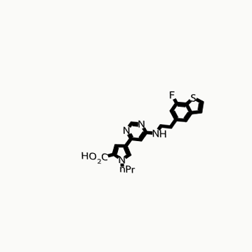 CCCn1cc(-c2cc(NCCc3cc(F)c4sccc4c3)ncn2)cc1C(=O)O